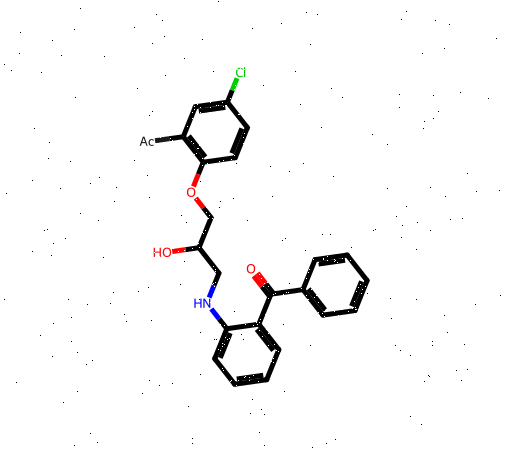 CC(=O)c1cc(Cl)ccc1OCC(O)CNc1ccccc1C(=O)c1ccccc1